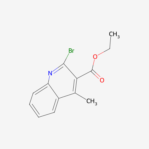 CCOC(=O)c1c(Br)nc2ccccc2c1C